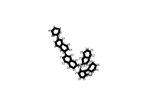 c1ccc(-c2ccc3cc(-c4ccc5ccc(N(c6ccc7ccccc7c6)c6cccc7oc8ccccc8c67)cc5c4)ccc3c2)cc1